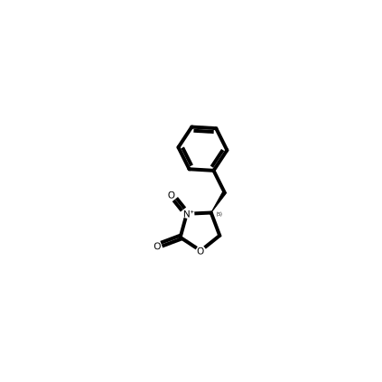 O=C1OC[C@H](Cc2ccccc2)[N+]1=O